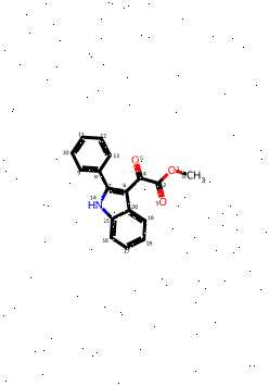 COC(=O)C(=O)c1c(-c2ccccc2)[nH]c2ccccc12